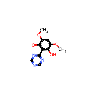 COc1cc(OC)c(O)c(-c2ncncn2)c1O